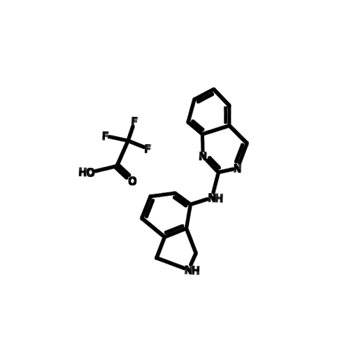 O=C(O)C(F)(F)F.c1cc2c(c(Nc3ncc4ccccc4n3)c1)CNC2